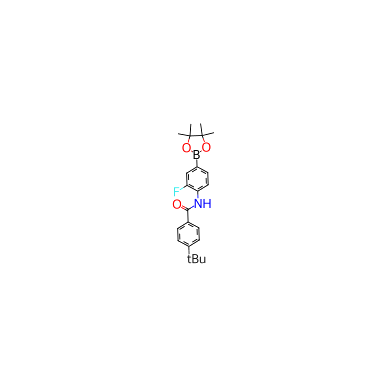 CC(C)(C)c1ccc(C(=O)Nc2ccc(B3OC(C)(C)C(C)(C)O3)cc2F)cc1